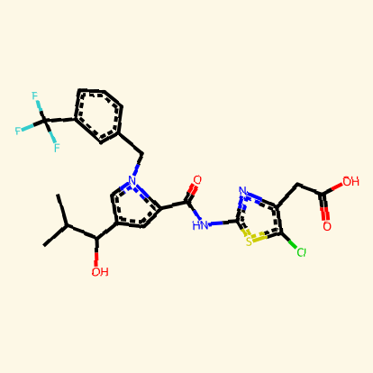 CC(C)C(O)c1cc(C(=O)Nc2nc(CC(=O)O)c(Cl)s2)n(Cc2cccc(C(F)(F)F)c2)c1